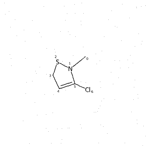 CN1SCC=C1Cl